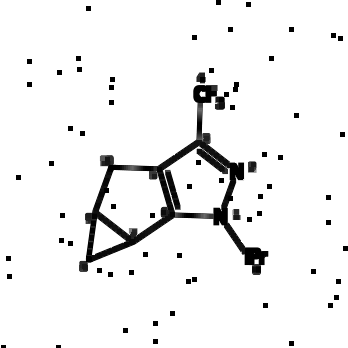 CC(C)n1nc(C(F)(F)F)c2c1C1CC1C2